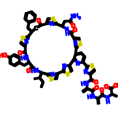 C=C(NC(=O)c1csc(-c2ccc3c(n2)-c2csc(n2)-c2csc(n2)C(C(C)CC)NC(=O)C(Cc2ccc(O)cc2)NC(=O)c2csc(n2)C(Cc2ccccc2)CC(=O)c2csc(n2)C(CC(N)=O)NC(=O)c2csc-3n2)n1)C(=O)NC(=C)C(=O)NC(C)C(=O)O